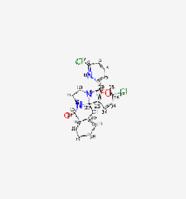 O=C(c1cccc(Cl)n1)N1CCN2C(=O)c3ccccc3CC12c1ccc(Cl)cc1